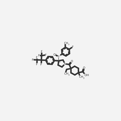 CCC1(C(=O)N2CC[C@](c3ccc(C(F)(C(F)(F)F)C(F)(F)F)cc3)([S+]([O-])c3ccc(F)c(C)c3)C2)CCC(C)(C(=O)O)CC1